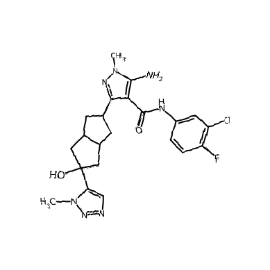 Cn1nncc1C1(O)CC2CC(c3nn(C)c(N)c3C(=O)Nc3ccc(F)c(Cl)c3)CC2C1